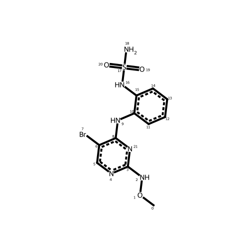 CONc1ncc(Br)c(Nc2ccccc2NS(N)(=O)=O)n1